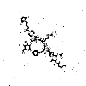 CC[C@H](C)CC(=O)N(C)[C@H](C[C@@H](OC(C)=O)c1nc(C(=O)N(C)[C@H]2Cc3ccc(cc3)OC3OC(CO)C(O)C(O)C3OC(C)[C@@H](C(=O)N3CCN(C(=O)CCCN4C(=O)C=CC4=O)CC3)NC(=O)[C@H](CCCNC(N)=O)NC2=O)cs1)C(C)C